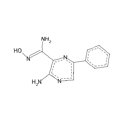 N/C(=N\O)c1nc(-c2ccccc2)cnc1N